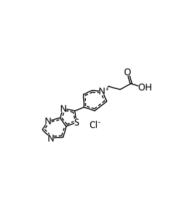 O=C(O)CC[n+]1ccc(-c2nc3ncncc3s2)cc1.[Cl-]